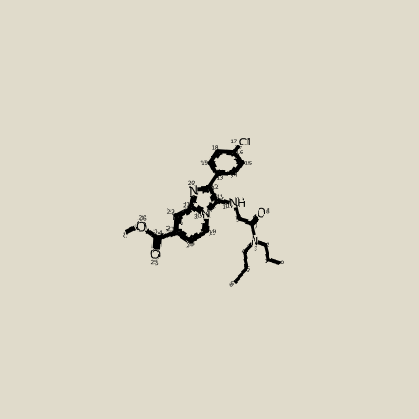 CCCN(CCC)C(=O)CNc1c(-c2ccc(Cl)cc2)nc2cc(C(=O)OC)ccn12